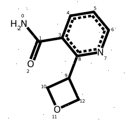 NC(=O)c1cccnc1C1COC1